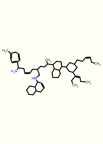 CC/C=C\CCC1CC(/C(=C/CC)CC)CC(C2CCC(C(C)CCC(C/C=C\CC(N)C3=CC=C(C)CC=C3)CNC3C=CCC4CCCCC43)C3CCCCC23)C1